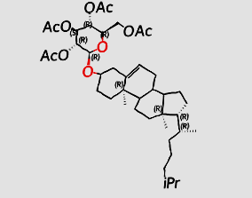 CC(=O)OC[C@H]1O[C@@H](OC2CC[C@@]3(C)C(=CCC4C3CC[C@@]3(C)C4CC[C@@H]3[C@H](C)CCCC(C)C)C2)[C@H](OC(C)=O)[C@@H](OC(C)=O)[C@@H]1OC(C)=O